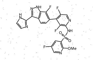 COc1ncc(F)cc1S(=O)(=O)Nc1ncc(F)c(-c2ccc3c(-c4ncc[nH]4)n[nH]c3c2F)c1F